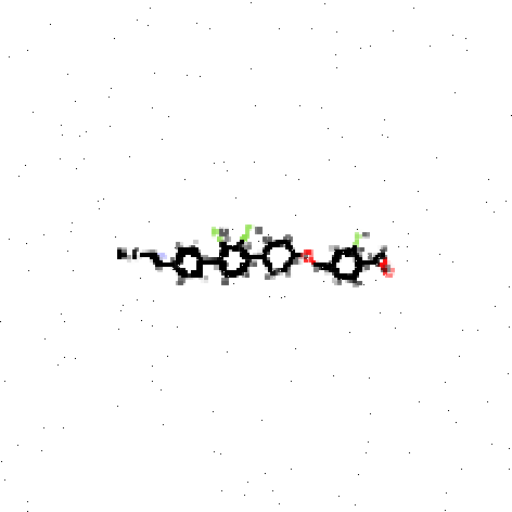 C/C=C/c1ccc(-c2ccc(C3CCC(OCc4ccc(C5CO5)c(F)c4)CC3)c(F)c2F)cc1